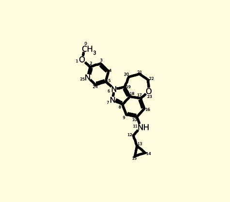 COc1ccc(-n2nc3cc(NCC4CC4)cc4c3c2CCCO4)cn1